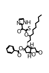 CCCCCCCC(CC[C@@H]1[C@H]2CC(=O)O[C@H]2C[C@H]1OC(=O)c1ccccc1)OC(=S)C(=O)c1ncc[nH]1